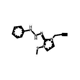 C#CCn1ccn(SC)/c1=N\NNc1ccccc1